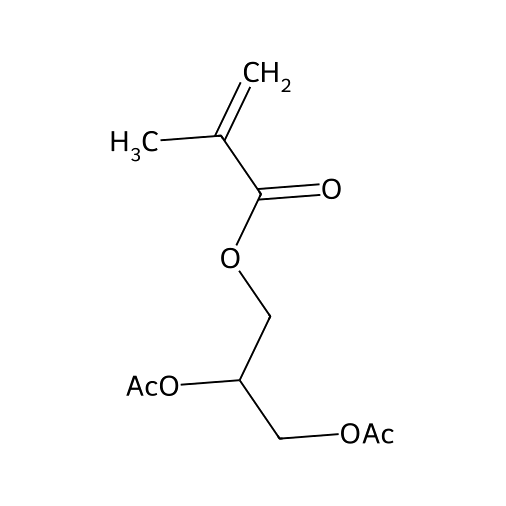 C=C(C)C(=O)OCC(COC(C)=O)OC(C)=O